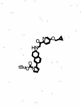 CC(C)(C)OC(=O)n1cccc1-c1ccc2c(c1)CC[C@H](NCC(=O)c1ccc(OCC3CC3)cn1)C2